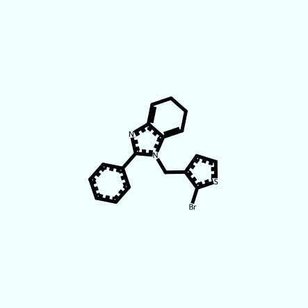 Brc1sccc1Cn1c(-c2ccccc2)nc2c1=CCCC=2